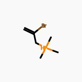 C=C(Br)C[PH](C)(C)C